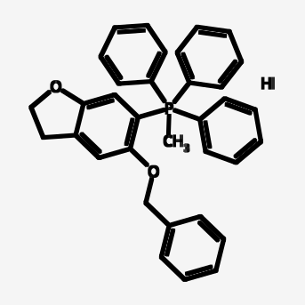 CP(c1ccccc1)(c1ccccc1)(c1ccccc1)c1cc2c(cc1OCc1ccccc1)CCO2.I